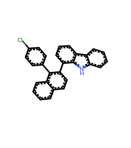 Clc1ccc(-c2c(-c3cccc4c3[nH]c3ccccc34)ccc3ccccc23)cc1